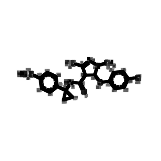 CN1N=C(C(F)(F)F)C(C(=O)NC2(c3ccc(C(=O)O)cc3)CC2)C1Oc1ccc(Cl)cc1